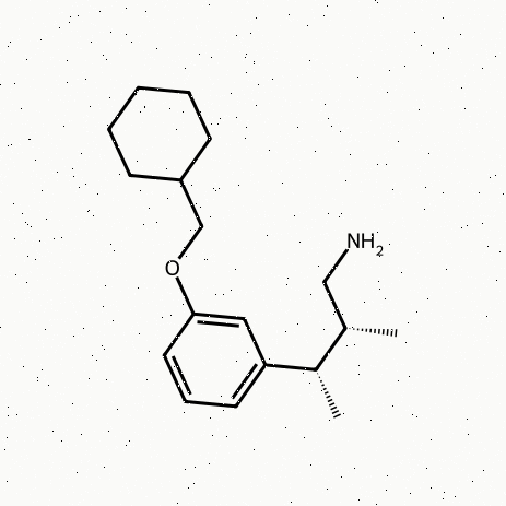 C[C@H](c1cccc(OCC2CCCCC2)c1)[C@@H](C)CN